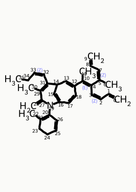 C=C\C=C/C(C(/C)=C\C=C)=C(/C)C1=CC2C=C(C=C1)N(C1=C(C)CCC=C1)C(=C)C(C)=C2/C=C\CC